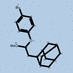 CCC(C)c1ccc(OC(CC2C3CC4CC(C3)CC2C4)OC)cc1